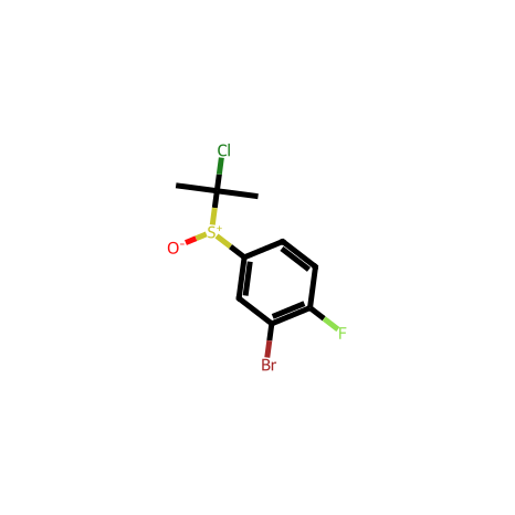 CC(C)(Cl)[S+]([O-])c1ccc(F)c(Br)c1